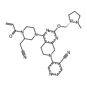 C=CC(=O)N1CCN(c2nc(OC[C@@H]3CCCN3C)nc3c2CCN(c2cnccc2C#N)C3)CC1CC#N